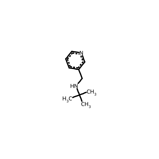 CC(C)(C)NCc1cccnc1